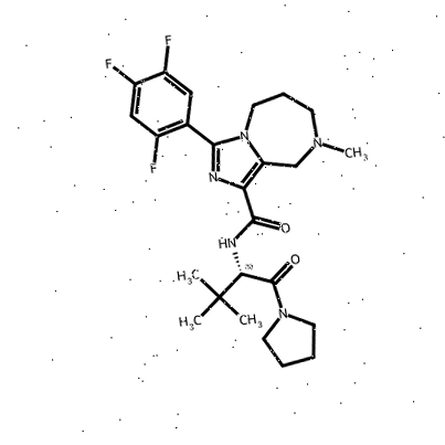 CN1CCCn2c(-c3cc(F)c(F)cc3F)nc(C(=O)N[C@H](C(=O)N3CCCC3)C(C)(C)C)c2C1